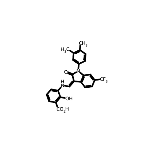 Cc1ccc(N2C(=O)/C(=C\Nc3cccc(C(=O)O)c3O)c3ccc(C(F)(F)F)cc32)cc1C